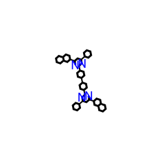 c1ccc(-c2cc(-c3ccc4ccccc4c3)nc(-c3ccc(-c4ccc(-c5nc(-c6ccccc6)cc(-c6ccc7ccccc7c6)n5)cc4)cc3)n2)cc1